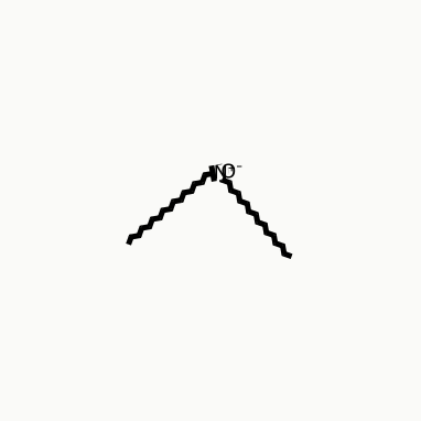 CCCCCCCCCCCCCCCCC(C)(C)[N+](C)([O-])CCCCCCCCCCCCCCCC